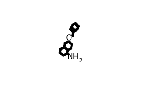 NC1CCCC2CC(OCC3CC4C=CC3C4)CCC12